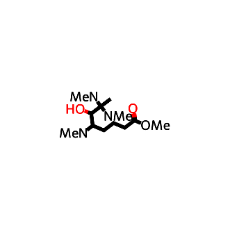 CNC(CCCC(=O)OC)C(O)C(C)(NC)NC